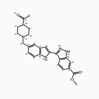 COC(=O)c1ccc2c(-c3cc4cc(CN5CCN(C(C)=O)CC5)ccc4[nH]3)n[nH]c2c1